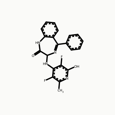 Cc1nc(O)c(F)c(NC2N=C(c3ccccc3)c3ccccc3NC2=O)c1F